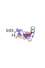 CCOC(=O)NCCN(C)C(=O)CC[C@H](NC(=O)[C@H](CC1CCCCC1)NC(=O)OCc1cccc(Cl)c1)C(=O)O